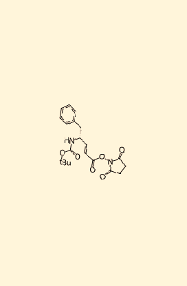 CC(C)(C)OC(=O)N[C@@H](C=CC(=O)ON1C(=O)CCC1=O)Cc1ccccc1